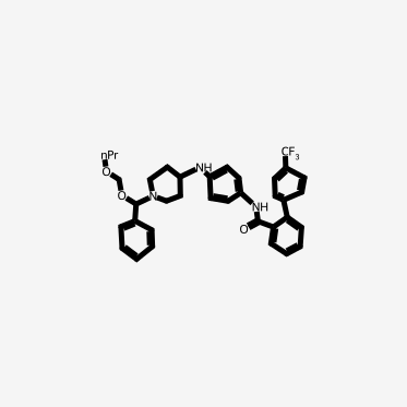 CCCOCOC(c1ccccc1)N1CCC(Nc2ccc(NC(=O)c3ccccc3-c3ccc(C(F)(F)F)cc3)cc2)CC1